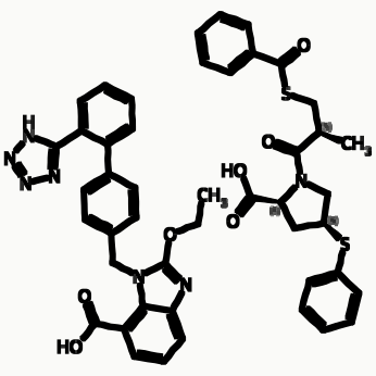 CCOc1nc2cccc(C(=O)O)c2n1Cc1ccc(-c2ccccc2-c2nnn[nH]2)cc1.C[C@H](CSC(=O)c1ccccc1)C(=O)N1C[C@@H](Sc2ccccc2)C[C@H]1C(=O)O